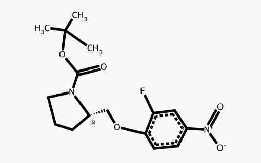 CC(C)(C)OC(=O)N1CCC[C@H]1COc1ccc([N+](=O)[O-])cc1F